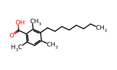 CCCCCCCCc1c(C)cc(C)c(C(=O)O)c1C